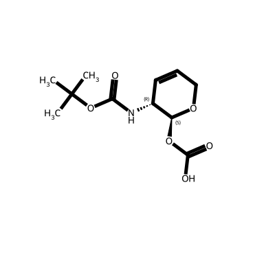 CC(C)(C)OC(=O)N[C@@H]1C=CCO[C@H]1OC(=O)O